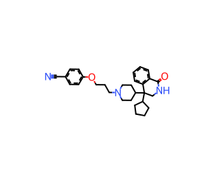 N#Cc1ccc(OCCCN2CCC(C3(C4CCCC4)CNC(=O)c4ccccc43)CC2)cc1